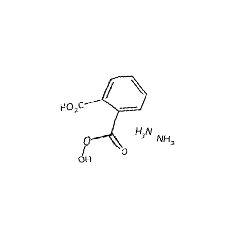 N.N.O=C(O)c1ccccc1C(=O)OO